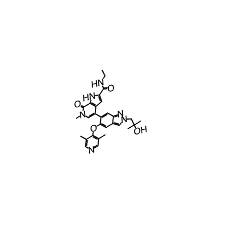 CCNC(=O)c1cc2c(-c3cc4nn(CC(C)(C)O)cc4cc3Oc3c(C)cncc3C)cn(C)c(=O)c2[nH]1